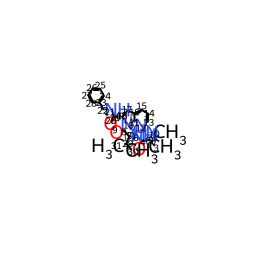 CN[C@@H](C)C(=O)N[C@H](C(=O)N1c2ncccc2C[C@@H]1C(=O)NCc1ccccc1)C(C)C